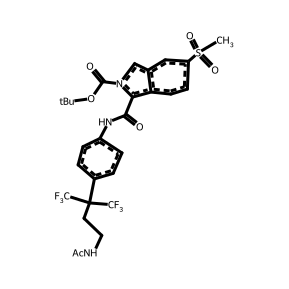 CC(=O)NCCC(c1ccc(NC(=O)c2c3ccc(S(C)(=O)=O)cc3cn2C(=O)OC(C)(C)C)cc1)(C(F)(F)F)C(F)(F)F